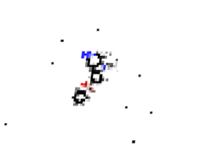 CC1CNCC[C@H]2c3cc(S(=O)(=O)c4ccccc4)ccc3N(C)C12